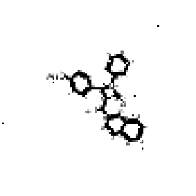 COc1ccc([C@@H]2[C@H]([C@H](O)c3ccc4ccccc4c3)C(=O)N2c2ccccc2)cc1